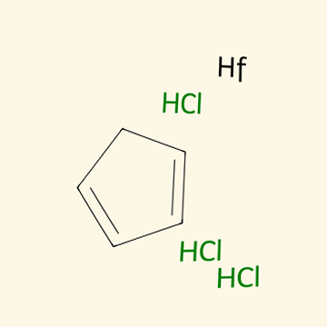 C1=CCC=C1.Cl.Cl.Cl.[Hf]